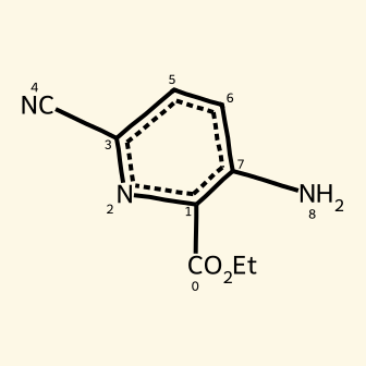 CCOC(=O)c1nc(C#N)ccc1N